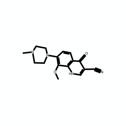 COc1c(N2CCN(C)CC2)ccc2c(=O)c(C#N)c[nH]c12